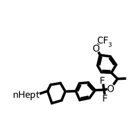 CCCCCCCC1CCC(c2ccc(C(F)(F)OC(C)c3ccc(OC(F)(F)F)cc3)cc2)CC1